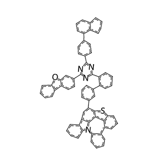 c1cc(-c2ccccc2-c2nc(-c3ccc(-c4cccc5ccccc45)cc3)nc(-c3ccc4c(c3)oc3ccccc34)n2)cc(-c2cc3c4ccccc4n4c5ccccc5c5cccc6sc2c(c65)c34)c1